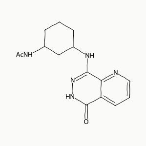 CC(=O)NC1CCCC(Nc2n[nH]c(=O)c3cccnc23)C1